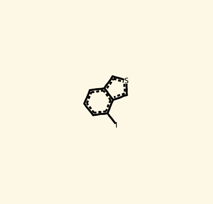 Ic1cccc2cscc12